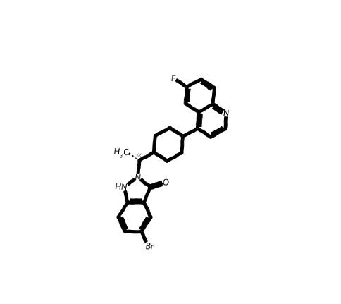 C[C@H](C1CCC(c2ccnc3ccc(F)cc23)CC1)n1[nH]c2ccc(Br)cc2c1=O